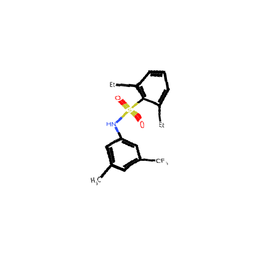 CCc1cccc(CC)c1S(=O)(=O)Nc1cc(C)cc(C(F)(F)F)c1